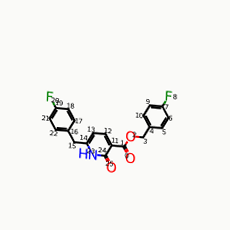 O=C(OCc1ccc(F)cc1)c1ccc(Cc2ccc(F)cc2)[nH]c1=O